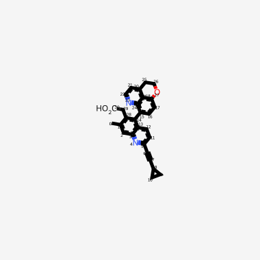 Cc1cc2nc(C#CC3CC3)ccc2c(-c2ccc3c4c(ccnc24)CCO3)c1CC(=O)O